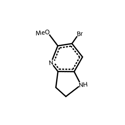 COc1nc2c(cc1Br)NCC2